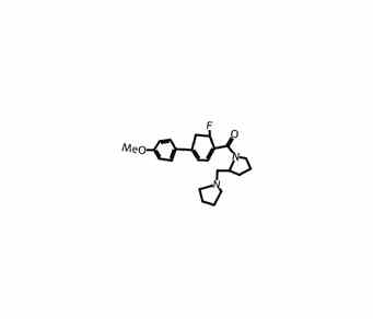 COc1ccc(C2=CC=C(C(=O)N3CCCC3CN3CCCC3)C(F)C2)cc1